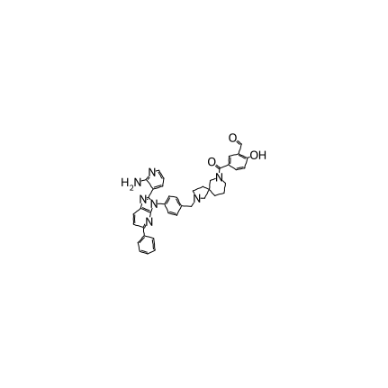 Nc1ncccc1-c1nc2ccc(-c3ccccc3)nc2n1-c1ccc(CN2CCC3(CCCN(C(=O)c4ccc(O)c(C=O)c4)C3)C2)cc1